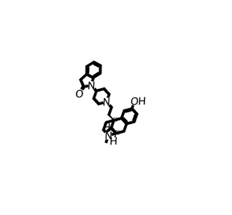 C[C@H]1[C@H]2Cc3ccc(O)cc3[C@@]1(CCN1CCC(N3C(=O)Cc4ccccc43)CC1)CCN2C